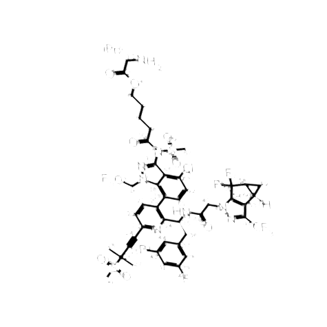 CC(C)[C@H](N)C(=O)OCCCCC(=O)N(c1nn(CC(F)(F)F)c2c(-c3ccc(C#CC(C)(C)S(C)(=O)=O)nc3[C@H](Cc3cc(F)cc(F)c3)NC(=O)Cn3nc(C(F)(F)F)c4c3C(F)(F)C3C[C@H]43)ccc(Cl)c12)S(C)(=O)=O